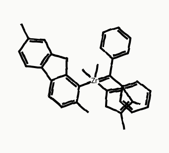 CC1=C(C)C[C]([Zr]([CH3])([CH3])(=[C](c2ccccc2)c2ccccc2)[c]2c(C)ccc3c2Cc2cc(C)ccc2-3)=C1